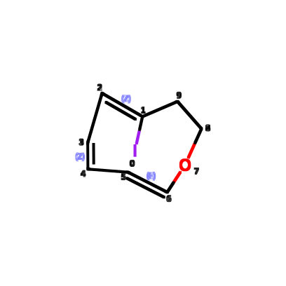 I\C1=C/C=C\C=C\OCC1